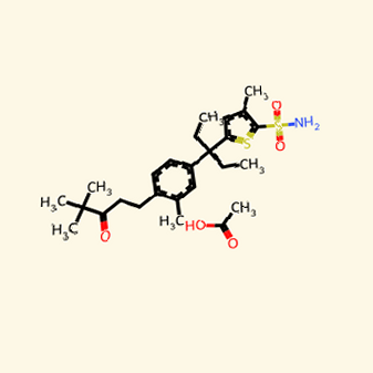 CC(=O)O.CCC(CC)(c1ccc(CCC(=O)C(C)(C)C)c(C)c1)c1cc(C)c(S(N)(=O)=O)s1